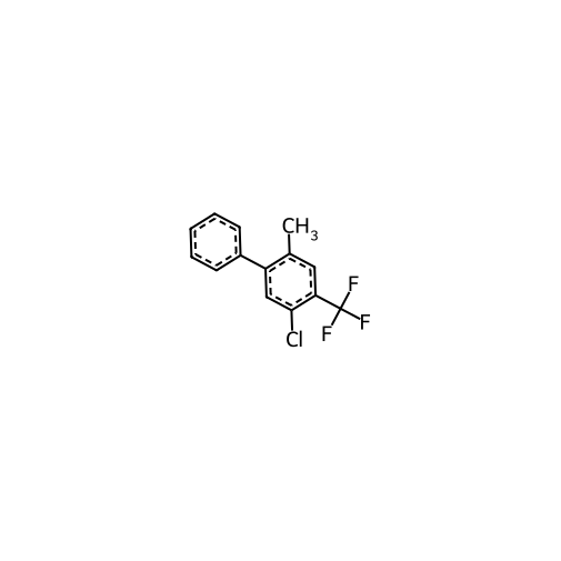 Cc1cc(C(F)(F)F)c(Cl)cc1-c1ccccc1